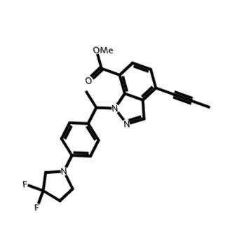 CC#Cc1ccc(C(=O)OC)c2c1cnn2C(C)c1ccc(N2CCC(F)(F)C2)cc1